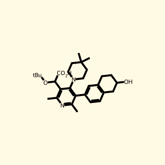 Cc1nc(C)c(C(OC(C)(C)C)C(=O)O)c(N2CCC(C)(C)CC2)c1-c1ccc2c(c1)CCC(O)C2